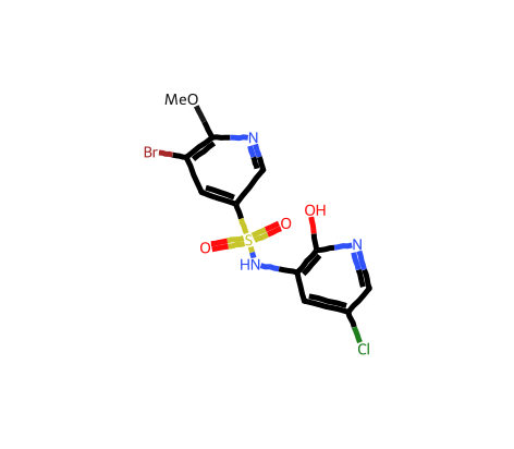 COc1ncc(S(=O)(=O)Nc2cc(Cl)cnc2O)cc1Br